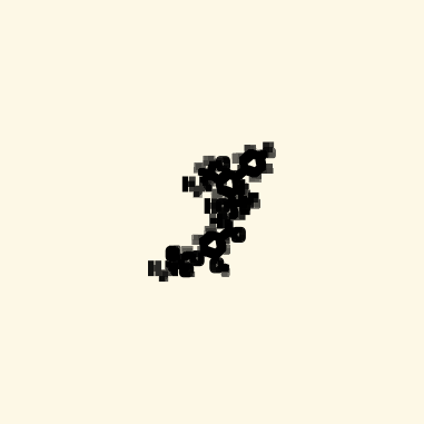 COc1cc(C(=O)NCC(O)(c2cc3c(c(-c4ccc(F)cc4)n2)OCC3(C)N)C(F)(F)F)ccc1OCS(N)(=O)=O